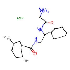 CC(C)[C@@H]1CC[C@@H](C)C[C@H]1C(=O)NCC(NC(=O)CN)C1CCCCC1.Cl